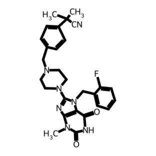 Cn1c(=O)[nH]c(=O)c2c1nc(N1CCN(Cc3ccc(C(C)(C)C#N)cc3)CC1)n2Cc1ccccc1F